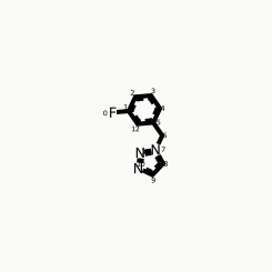 Fc1cccc(Cn2ccnn2)c1